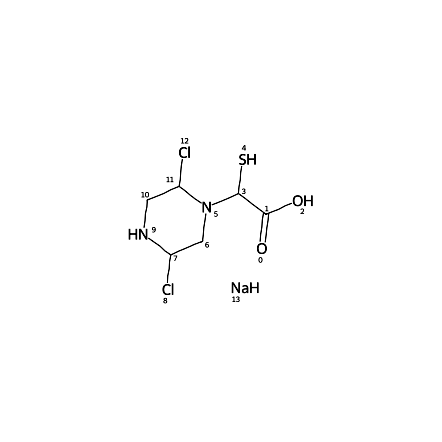 O=C(O)C(S)N1CC(Cl)NCC1Cl.[NaH]